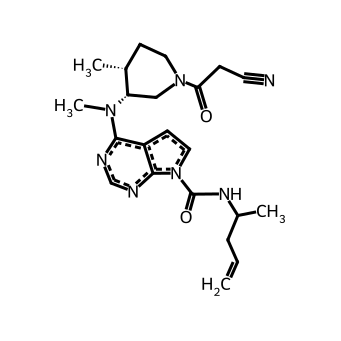 C=CCC(C)NC(=O)n1ccc2c(N(C)[C@H]3CN(C(=O)CC#N)CC[C@H]3C)ncnc21